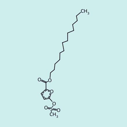 CCCCCCCCCCCCCCOC(=O)c1ccc(OS(C)(=O)=O)o1